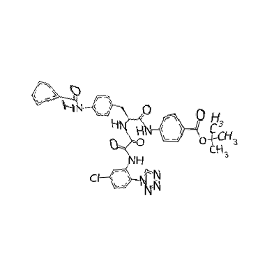 CC(C)(C)OC(=O)c1ccc(NC(=O)[C@H](Cc2ccc(NC(=O)c3ccccc3)cc2)NC(=O)C(=O)Nc2cc(Cl)ccc2-n2cnnn2)cc1